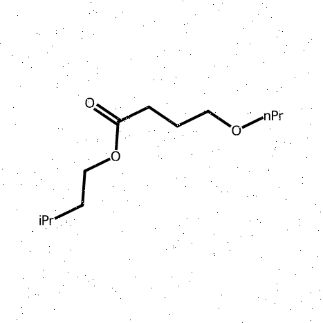 CCCOCCCC(=O)OCCC(C)C